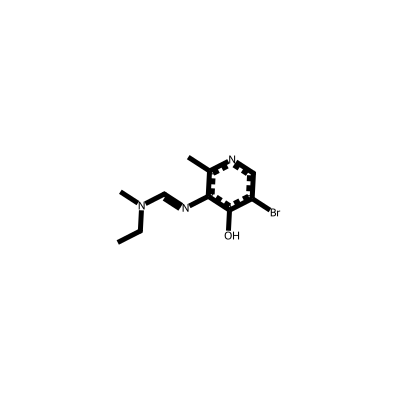 CCN(C)C=Nc1c(C)ncc(Br)c1O